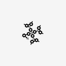 Cc1ccc2c(c1)c1cc(C)ccc1n2-c1ccc([Si](c2ccc(-c3ccccc3C#N)cc2)(c2ccc(-n3c4ccc(C)cc4c4cc(C)ccc43)cc2)c2ccc(-n3c4ccc(C)cc4c4cc(C)ccc43)cc2)cc1